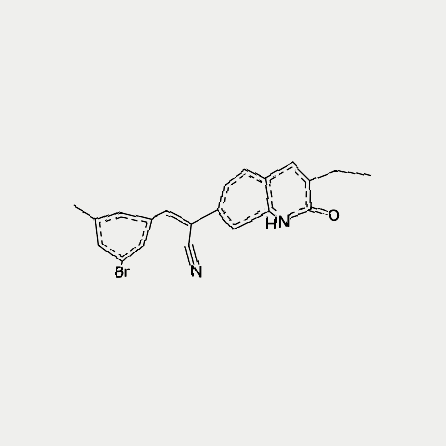 CCc1cc2ccc(/C(C#N)=C/c3cc(C)cc(Br)c3)cc2[nH]c1=O